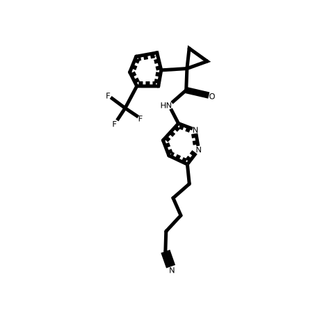 N#CCCCCc1ccc(NC(=O)C2(c3cccc(C(F)(F)F)c3)CC2)nn1